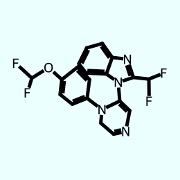 FC(F)Oc1ccc(N2CC=NC=C2n2c(C(F)F)nc3ccccc32)cc1